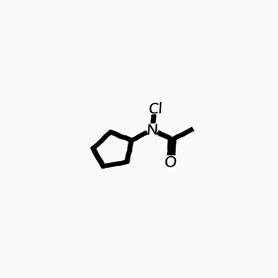 CC(=O)N(Cl)C1CCCC1